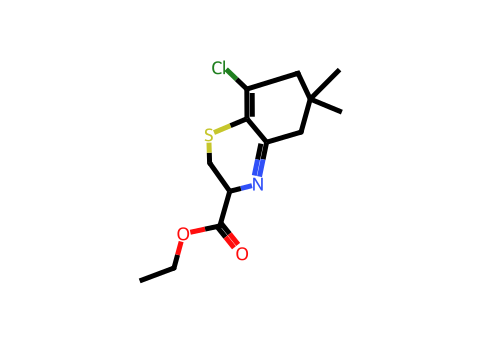 CCOC(=O)C1CSC2=C(Cl)CC(C)(C)CC2=N1